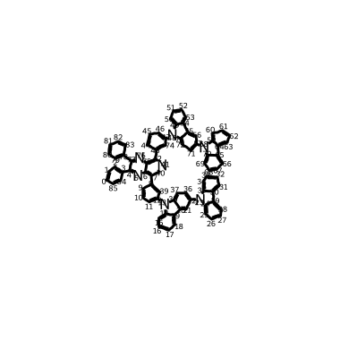 c1ccc(-c2nc3c(-c4cccc(-n5c6ccccc6c6cc(-n7c8ccccc8c8ccccc87)ccc65)c4)cnc(-c4cccc(-n5c6ccccc6c6cc(-n7c8ccccc8c8ccccc87)ccc65)c4)c3nc2-c2ccccc2)cc1